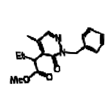 CCC(C(=O)OC)c1c(C)cnn(Cc2ccccc2)c1=O